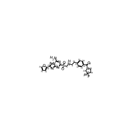 Nc1nc(S(=O)(=O)CNCCc2ccc(C(=O)N3CCC(F)(F)C3)cc2)nc2nc(-c3ccco3)nn12